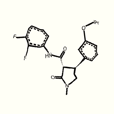 CC(C)Oc1cccc([C@H]2CN(C)C(=O)[C@@H]2C(=O)Nc2cccc(F)c2F)c1